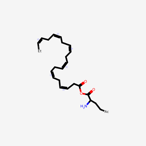 CC/C=C\C/C=C\C/C=C\C/C=C\C/C=C\C/C=C\CC(=O)OC(=O)C(N)CCC(C)=O